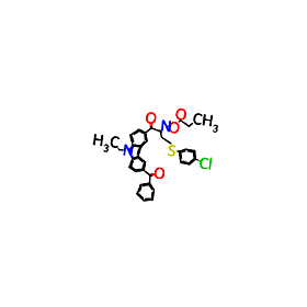 CCC(=O)O/N=C(\CCSc1ccc(Cl)cc1)C(=O)c1ccc2c(c1)c1cc(C(=O)c3ccccc3)ccc1n2CC